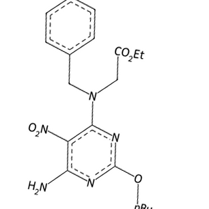 CCCCOc1nc(N)c([N+](=O)[O-])c(N(CC(=O)OCC)Cc2ccccc2)n1